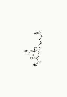 CCCCCCCCCCCCCCCC(CC(O)CO)C(I)(I)C(=O)O